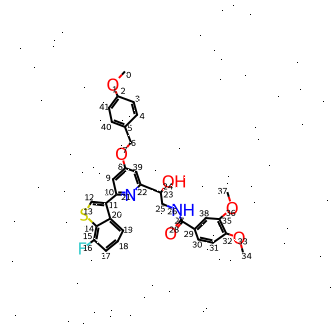 COc1ccc(COc2cc(-c3csc4c(F)cccc34)nc(C(O)CNC(=O)c3ccc(OC)c(OC)c3)c2)cc1